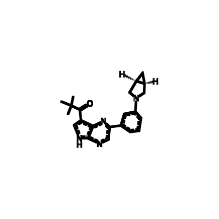 CC(C)(C)C(=O)c1c[nH]c2ncc(-c3cccc(N4C[C@H]5C[C@H]5C4)c3)nc12